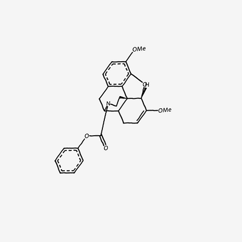 COC1=CCC2C3Cc4ccc(OC)c5c4[C@]2(CCN3C(=O)Oc2ccccc2)[C@@H]1O5